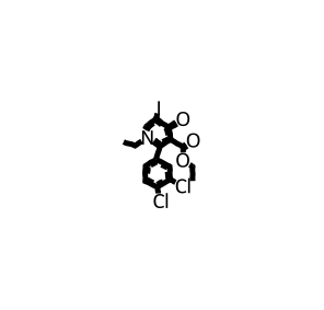 CCOC(=O)c1c(-c2ccc(Cl)c(Cl)c2)n(CC)cc(I)c1=O